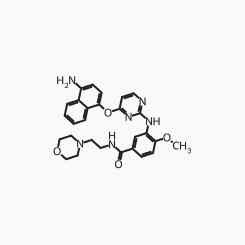 COc1ccc(C(=O)NCCN2CCOCC2)cc1Nc1nccc(Oc2ccc(N)c3ccccc23)n1